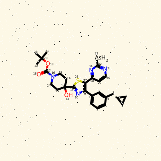 C1CC1.Cc1cccc(-c2nc(C3(O)CCN(C(=O)OC(C)(C)C)CC3)sc2-c2ccnc([AsH2])n2)c1